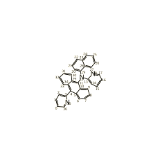 c1ccc(-c2c3ccccc3c(N(c3ccccn3)c3cccc4ccccc34)c3ccccc23)nc1